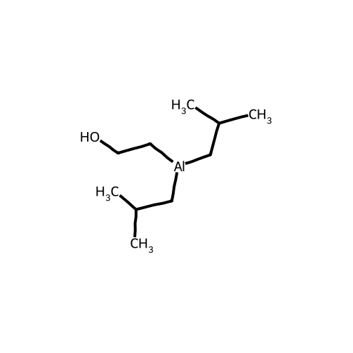 CC(C)[CH2][Al]([CH2]CO)[CH2]C(C)C